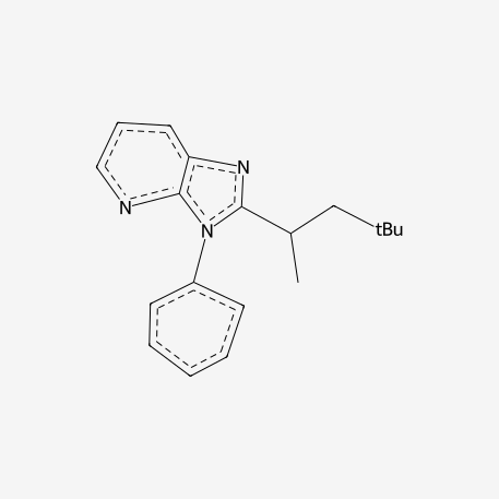 CC(CC(C)(C)C)c1nc2cccnc2n1-c1ccccc1